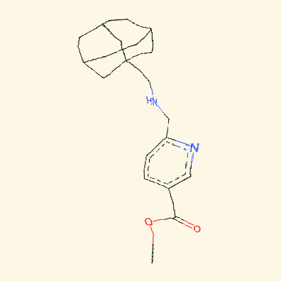 COC(=O)c1ccc(CNCC23CC4CC(CC(C4)C2)C3)nc1